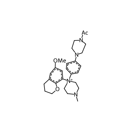 COc1cc2c(c([N+]3(c4ccc(N5CCN(C(C)=O)CC5)cc4)CCN(C)CC3)c1)OCCC2